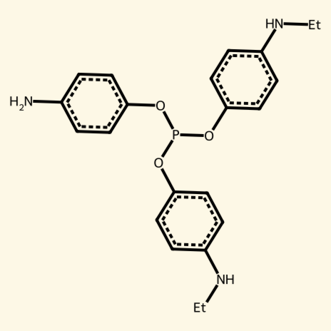 CCNc1ccc(OP(Oc2ccc(N)cc2)Oc2ccc(NCC)cc2)cc1